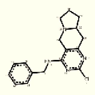 Clc1nc2c(c(NCc3ccccc3)n1)CN1CCCC1C2